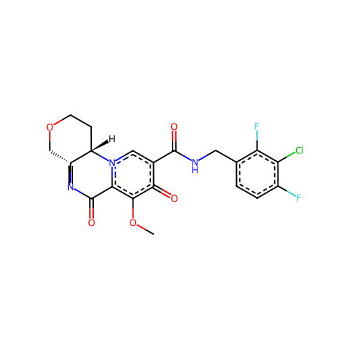 COc1c2n(cc(C(=O)NCc3ccc(F)c(Cl)c3F)c1=O)[C@H]1CCOC[C@]13CC=CCN3C2=O